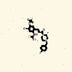 C[C@@H]1CN(Cc2ccc(F)cc2)CCN1C(=O)C=Cc1cc(OC(F)(F)F)c(Cl)cc1NC(N)=O